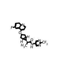 CC(C(=O)Nc1cnc(C(F)(F)F)nc1)[C@H]1[C@@H]2CC(OC3=CC=NC4CC=C(F)C=C34)C[C@@H]21